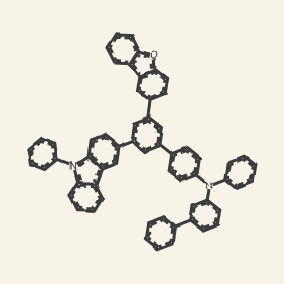 c1ccc(-c2cccc(N(c3ccccc3)c3ccc(-c4cc(-c5ccc6oc7ccccc7c6c5)cc(-c5ccc6c(c5)c5ccccc5n6-c5ccccc5)c4)cc3)c2)cc1